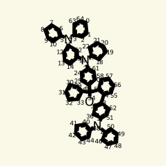 c1ccc(N(c2ccccc2)c2cccc(N(c3ccccc3)c3ccc(C4(c5ccccc5)Oc5cc(N(c6ccccc6)c6ccccc6)ccc5-c5ccccc54)cc3)c2)cc1